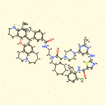 CCCCc1cc2c(c3c1=NCCC3)Oc1c(cc3c4c1CCCN4CCCC3)C=2c1cc(C(=O)NCCN(CC2CCCCCC2)C(=O)CN2CCN(c3cc(Nc4ncc(C(=O)Nc5c(C)cccc5Cl)s4)nc(C)n3)CC2)ccc1C(=O)O